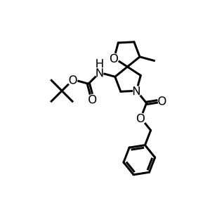 CC1CCOC12CN(C(=O)OCc1ccccc1)CC2NC(=O)OC(C)(C)C